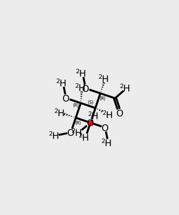 [2H]OC([2H])([2H])[C@@]([2H])(O[2H])[C@@]([2H])(O[2H])[C@]([2H])(O[2H])[C@@]([2H])(O[2H])C([2H])=O